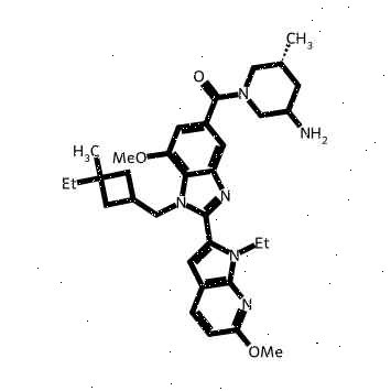 CCn1c(-c2nc3cc(C(=O)N4CC(N)C[C@@H](C)C4)cc(OC)c3n2CC2CC(C)(CC)C2)cc2ccc(OC)nc21